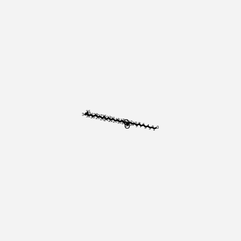 CCCCCCCCCCCCCC(=O)OCCCCCCCCCCCCCCCCCC(C)C